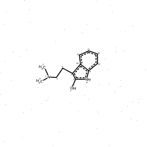 CN(C)CCc1c(O)[nH]c2ccccc12